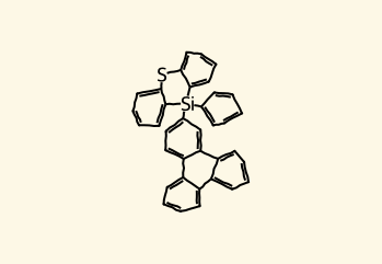 c1ccc([Si]2(c3ccc4c5ccccc5c5ccccc5c4c3)c3ccccc3Sc3ccccc32)cc1